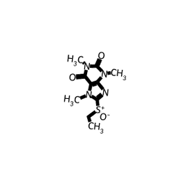 CC[S+]([O-])c1nc2c(c(=O)n(C)c(=O)n2C)n1C